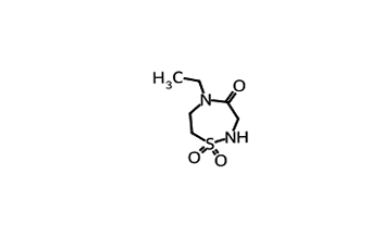 CCN1CCS(=O)(=O)NCC1=O